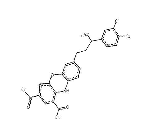 O=C(O)c1cc([N+](=O)[O-])cc2c1Nc1ccc(CCC(O)c3ccc(Cl)c(Cl)c3)cc1O2